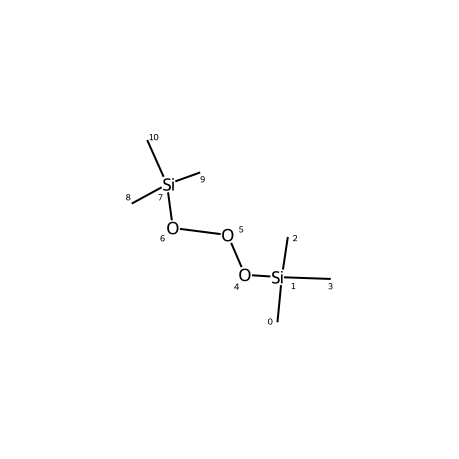 C[Si](C)(C)OOO[Si](C)(C)C